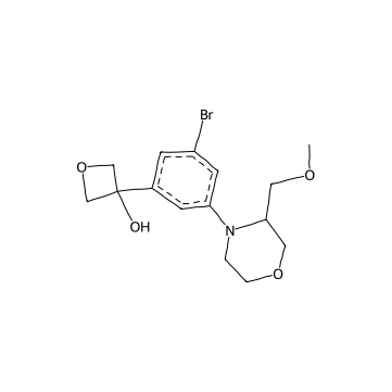 COCC1COCCN1c1cc(Br)cc(C2(O)COC2)c1